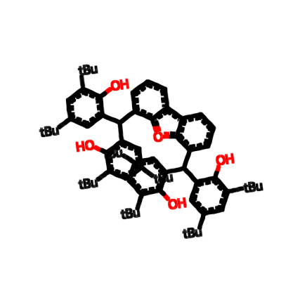 CC(C)(C)c1cc(C(c2cc(C(C)(C)C)cc(C(C)(C)C)c2O)c2cccc3c2oc2c(C(c4cc(C(C)(C)C)cc(C(C)(C)C)c4O)c4cc(C(C)(C)C)cc(C(C)(C)C)c4O)cccc23)c(O)c(C(C)(C)C)c1